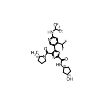 CCC(Nc1cc(C(F)F)c(-c2sc(C(=O)N[C@H]3CC[C@H](O)C3)nc2C(=O)N2CCC[C@@H]2C)cn1)C(F)(F)F